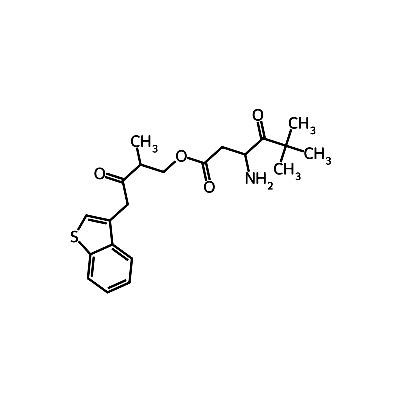 CC(COC(=O)CC(N)C(=O)C(C)(C)C)C(=O)Cc1csc2ccccc12